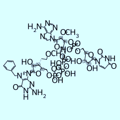 COCC[C@H]1[C@@H](O)[C@H](n2c[n+](Cc3ccccc3)c3c(=O)[nH]c(N)nc32)O[C@@H]1COP(=O)(O)OP(=O)(O)OP(=O)(O)OC[C@H]1O[C@@H](n2cnc3c(N)ncnc32)[C@H](OC)[C@@H]1OP(=O)(O)OC[C@H]1O[C@@H](n2ccc(=O)[nH]c2=O)[C@H](O)[C@@H]1O